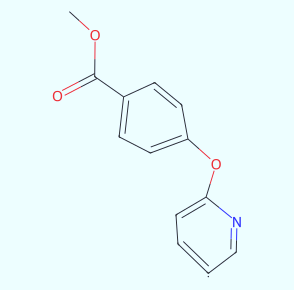 COC(=O)c1ccc(Oc2cc[c]cn2)cc1